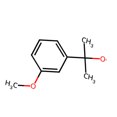 COc1cccc(C(C)(C)[O])c1